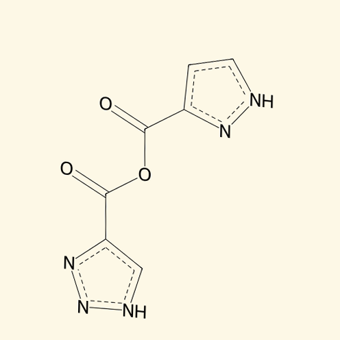 O=C(OC(=O)c1cc[nH]n1)c1c[nH]nn1